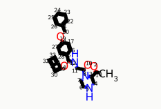 CC(=O)C1CNCCN1C(=O)CNC(=O)c1ccc(OCc2ccccc2)cc1.c1cc2ccc1-2